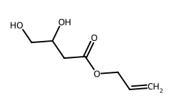 C=CCOC(=O)CC(O)CO